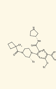 CCOc1cc(N2CCN(C(=O)C3(C(F)(F)F)CCC3)C[C@H]2CC)c(C(=O)N[C@@H]2CCNC2)nc1-c1cccnc1